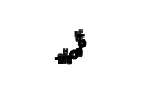 Cc1nnc(NC(=O)N2CCC3(CC2)CC(c2cccc(OC(F)(F)F)c2)CO3)o1